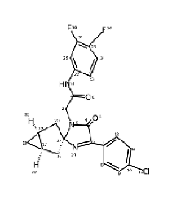 O=C(CN1C(=O)C(c2ccc(Cl)cc2)=N[C@]12C[C@H]1C[C@H]1C2)Nc1ccc(F)c(F)c1